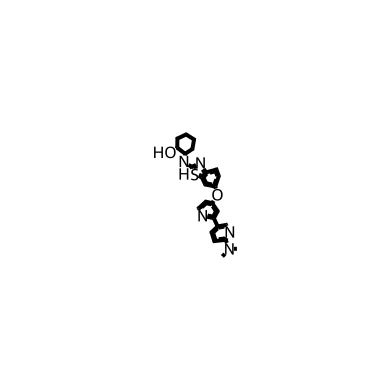 CN(C)c1ccc(-c2cc(Oc3ccc4nc(NC5CCCCC5O)sc4c3)ccn2)cn1